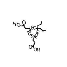 CCCC1(CCC)COC(C)(CCC(=O)O)OOC(C)(CCC(=O)O)OO1